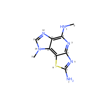 CNc1nc2nc(N)sc2c2c1ncn2C